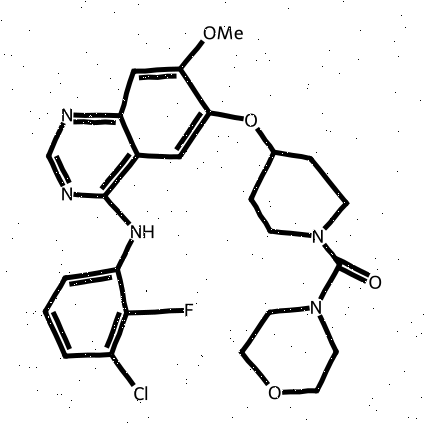 COc1cc2ncnc(Nc3cccc(Cl)c3F)c2cc1OC1CCN(C(=O)N2CCOCC2)CC1